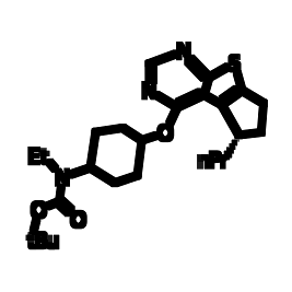 CCC[C@H]1CCc2sc3ncnc(OC4CCC(N(CC)C(=O)OC(C)(C)C)CC4)c3c21